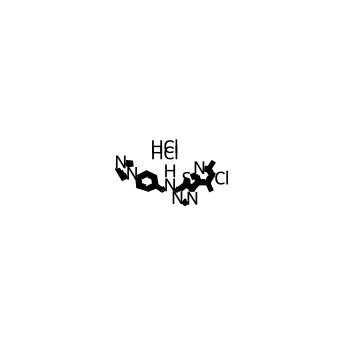 Cc1nc2sc3c(NCc4ccc(-n5ccnc5)cc4)ncnc3c2c(C)c1Cl.Cl.Cl